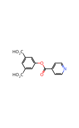 O=C(O)c1cc(OC(=O)c2ccncc2)cc(C(=O)O)c1